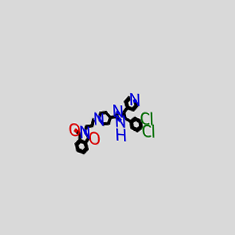 O=C1c2ccccc2C(=O)N1CCCN1CCC(c2nc(-c3ccncc3)c(-c3ccc(Cl)c(Cl)c3)[nH]2)CC1